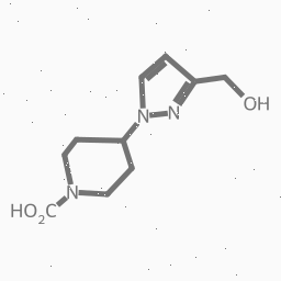 O=C(O)N1CCC(n2ccc(CO)n2)CC1